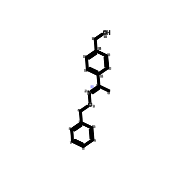 C/C(=N\OCc1ccccc1)c1ccc(CO)cc1